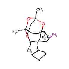 CC12CC3(C)OC(C)(CC(C)(O1)C3(CP)C1CCC1)O2